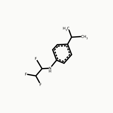 CC(C)c1ccc(NC(F)C(F)F)cc1